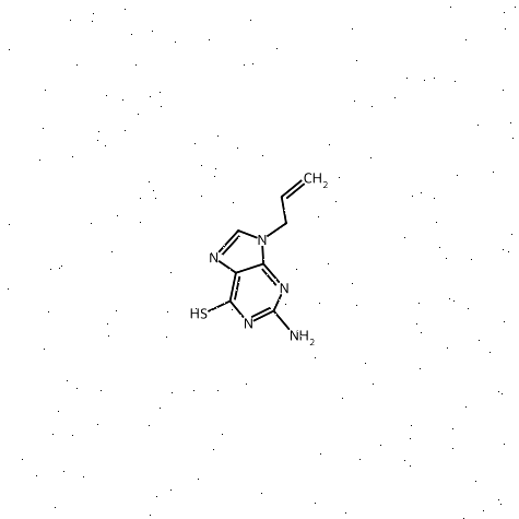 C=CCn1cnc2c(S)nc(N)nc21